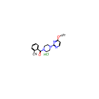 CCCOc1ccnc(N2CCN(C(=O)c3ccccc3C#N)CC2)n1.Cl